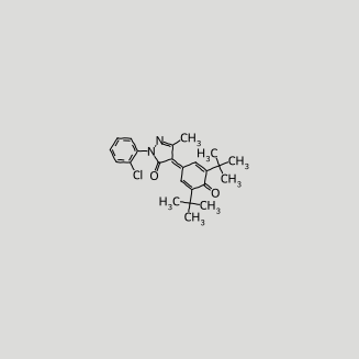 CC1=NN(c2ccccc2Cl)C(=O)C1=C1C=C(C(C)(C)C)C(=O)C(C(C)(C)C)=C1